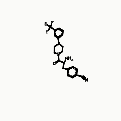 N#Cc1ccc(CC(N)C(=O)N2CCN(c3cccc(C(F)(F)F)c3)CC2)cc1